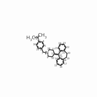 CN(C)c1ccc(CN2CCC(=C3c4ccccc4CCc4ccccc43)CC2)cc1